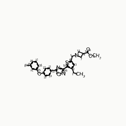 CCc1cc(CN2CC(C(=O)OC)C2)sc1-c1noc(-c2ccc(Oc3cccc(F)c3)cc2)n1